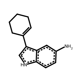 Nc1ccc2[nH]cc(C3=CCCCC3)c2c1